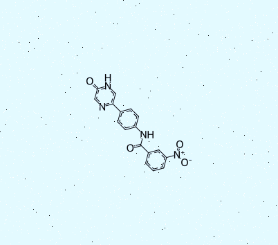 O=C(Nc1ccc(-c2c[nH]c(=O)cn2)cc1)c1cccc([N+](=O)[O-])c1